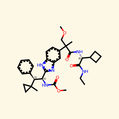 CCNC(=O)[C@H](NC(=O)C(C)(COC)c1ccc2[nH]c([C@@H](NC(=O)OC)[C@H](c3ccccc3)C3(C)CC3)nc2c1)C1CCC1